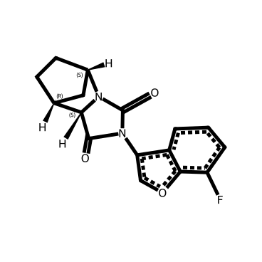 O=C1[C@@H]2[C@@H]3CC[C@@H](C3)N2C(=O)N1c1coc2c(F)cccc12